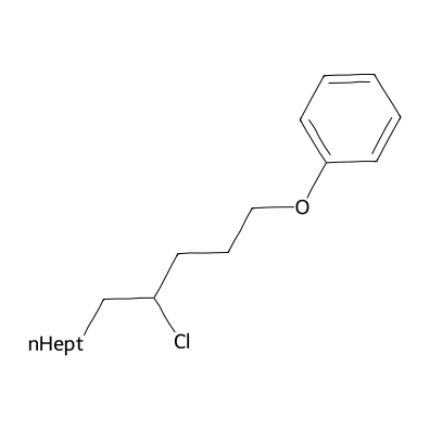 CCCCCCCCC(Cl)CCCOc1ccccc1